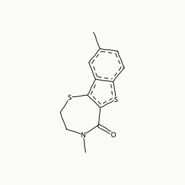 Cc1ccc2sc3c(c2c1)SCCN(C)C3=O